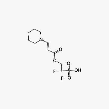 O=C(C=CN1CCCCC1)OCC(F)(F)S(=O)(=O)O